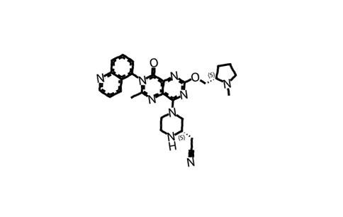 Cc1nc2c(N3CCN[C@@H](CC#N)C3)nc(OC[C@@H]3CCCN3C)nc2c(=O)n1-c1cccc2ncccc12